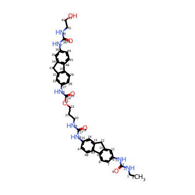 CCNC(=O)Nc1ccc2c(c1)Cc1cc(NC(=O)NCCCOC(=O)Nc3ccc4c(c3)Cc3cc(NC(=O)NCCO)ccc3-4)ccc1-2